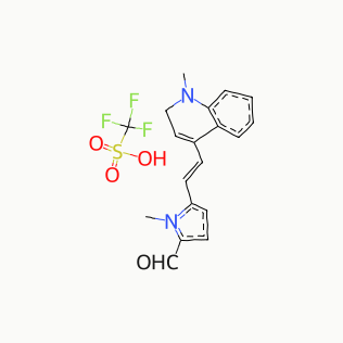 CN1CC=C(C=Cc2ccc(C=O)n2C)c2ccccc21.O=S(=O)(O)C(F)(F)F